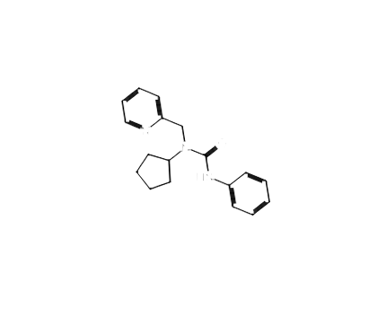 O=C(Nc1ccccc1)N(Cc1ccccn1)C1CCCC1